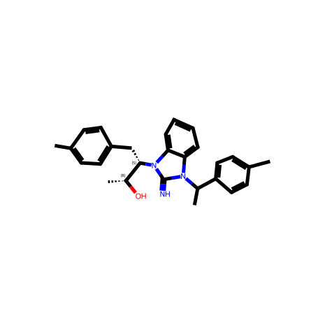 Cc1ccc(C[C@@H]([C@@H](C)O)n2c(=N)n(C(C)c3ccc(C)cc3)c3ccccc32)cc1